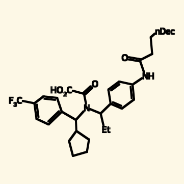 CCCCCCCCCCCCC(=O)Nc1ccc(C(CC)N(C(=O)C(=O)O)C(c2ccc(C(F)(F)F)cc2)C2CCCC2)cc1